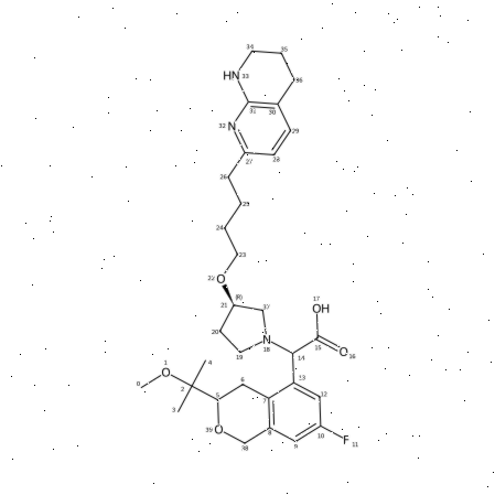 COC(C)(C)C1Cc2c(cc(F)cc2C(C(=O)O)N2CC[C@@H](OCCCCc3ccc4c(n3)NCCC4)C2)CO1